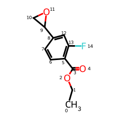 CCOC(=O)c1ccc(C2CO2)cc1F